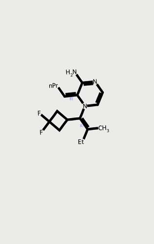 CCC/C=C1\C(N)=NC=CN1/C(=C(\C)CC)C1CC(F)(F)C1